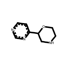 c1cc(C2CNCCO2)ncn1